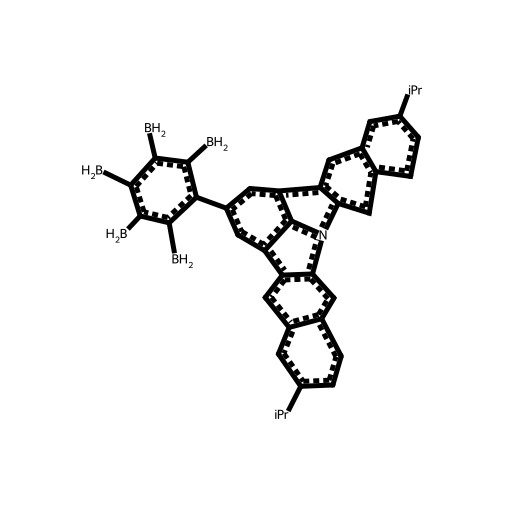 Bc1c(B)c(B)c(-c2cc3c4cc5cc(C(C)C)ccc5cc4n4c5cc6ccc(C(C)C)cc6cc5c(c2)c34)c(B)c1B